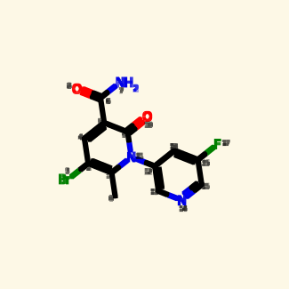 Cc1c(Br)cc(C(N)=O)c(=O)n1-c1cncc(F)c1